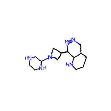 C1CNC2C(C1)CN=NC2C1CN(C2CNCCN2)C1